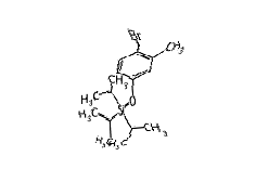 Cc1cc(O[Si](C(C)C)(C(C)C)C(C)C)ccc1Br